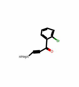 CCCCCCCC#CC(=O)c1ccccc1Br